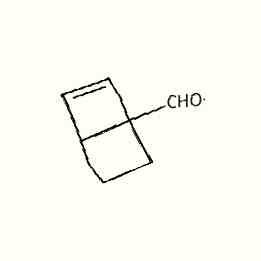 O=[C]C12C=CC1CC2